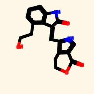 O=C1Nc2cccc(CCO)c2C1=Cc1[nH]cc2c1CCOC2=O